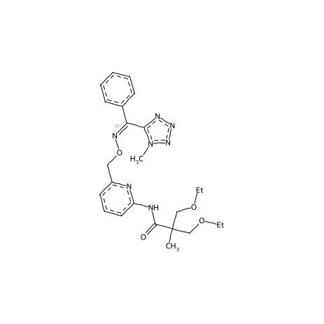 CCOCC(C)(COCC)C(=O)Nc1cccc(CO/N=C(/c2ccccc2)c2nnnn2C)n1